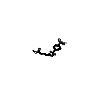 COC(=O)CCCc1nnc(-c2ccc([N+](=O)[O-])cc2)s1